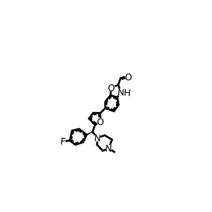 CN1CCN([C@@H](c2ccc(F)cc2)c2ccc(-c3ccc4c(c3)OC(C=O)N4)o2)CC1